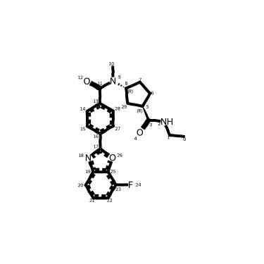 CCNC(=O)[C@@H]1CC[C@@H](N(C)C(=O)c2ccc(-c3nc4cccc(F)c4o3)cc2)C1